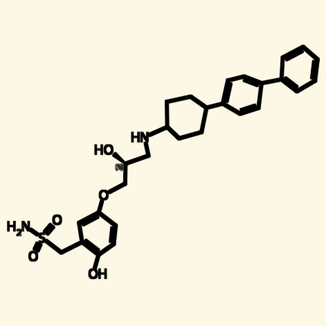 NS(=O)(=O)Cc1cc(OC[C@@H](O)CNC2CCC(c3ccc(-c4ccccc4)cc3)CC2)ccc1O